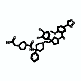 COc1ccc(C2C=NN=N2)cc1C(=O)N1CCC(CCN2CCC(NC(=O)N3CCN(CC(=O)O)CC3)(c3ccccc3)CC2)(c2ccc(Cl)c(Cl)c2)C1